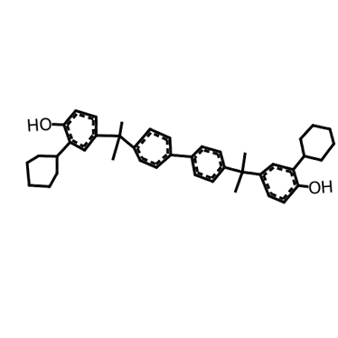 CC(C)(c1ccc(-c2ccc(C(C)(C)c3ccc(O)c(C4CCCCC4)c3)cc2)cc1)c1ccc(O)c(C2CCCCC2)c1